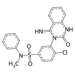 CN(c1ccccc1)S(=O)(=O)c1ccc(Cl)c(-n2c(=O)[nH]c3ccccc3c2=N)c1